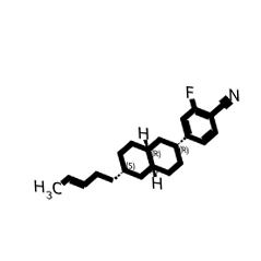 CC=CCC[C@@H]1CC[C@@H]2C[C@H](c3ccc(C#N)c(F)c3)CC[C@@H]2C1